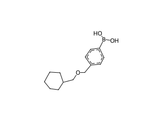 OB(O)c1ccc(COCC2CCCCC2)cc1